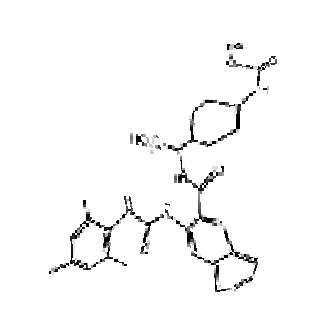 Cc1cc(C)c(NC(=O)Nc2cc3ccccc3cc2C(=O)NC(C(=O)O)C2CCC(NC(=O)OC(C)(C)C)CC2)c(C)c1